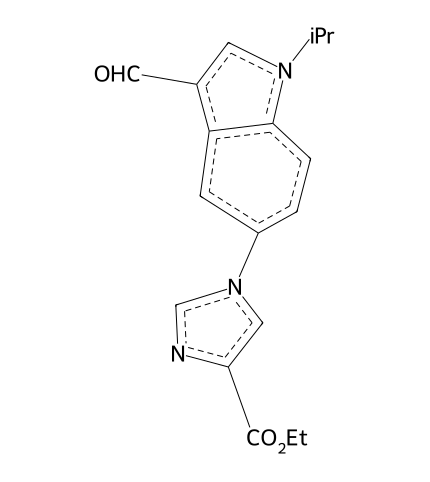 CCOC(=O)c1cn(-c2ccc3c(c2)c(C=O)cn3C(C)C)cn1